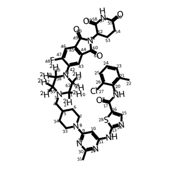 [2H]C1([2H])N(CC2CCN(c3cc(Nc4ncc(C(=O)Nc5c(C)cccc5Cl)s4)nc(C)n3)CC2)C([2H])([2H])C([2H])([2H])N(c2cc3c(cc2F)C(=O)N(C2CCC(=O)NC2=O)C3=O)C1([2H])[2H]